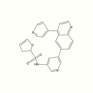 O=S(=O)(Nc1cncc(-c2ccc3nccc(-c4ccncc4)c3c2)c1)C1CC=CO1